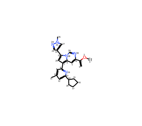 C=C(OCC)c1cc2c(-c3cc(C)cc(C4CCCC4)n3)cc(-c3cnn(C)c3)n2cn1